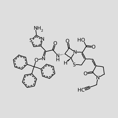 C#CCN1CCC(=CC2=C(C(=O)O)N3C(=O)[C@@H](NC(=O)C(=NOC(c4ccccc4)(c4ccccc4)c4ccccc4)c4csc(N)n4)[C@H]3SC2)C1=O